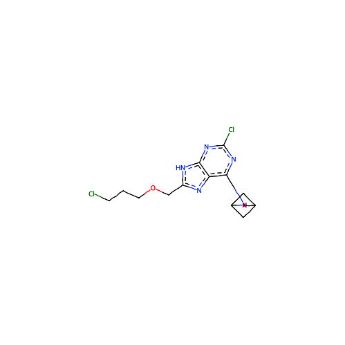 ClCCCOCc1nc2c(N3CC4CC3C4)nc(Cl)nc2[nH]1